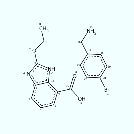 CCOc1nc2cccc(C(=O)O)c2[nH]1.NCc1ccc(Br)cc1